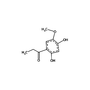 CCC(=O)c1cc(OC)c(O)cc1O